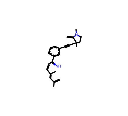 C=C(C)/C=C(C)/C=C\C(=N)c1cccc(C#CC2(C)CCN(C)C2=C)c1